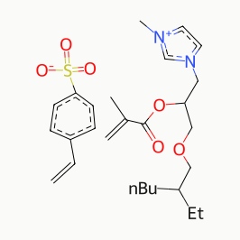 C=C(C)C(=O)OC(COCC(CC)CCCC)Cn1cc[n+](C)c1.C=Cc1ccc(S(=O)(=O)[O-])cc1